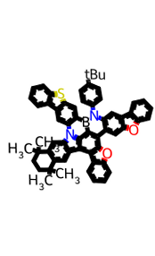 CC(C)(C)c1ccc(N2B3c4cc5sc6ccccc6c5cc4-n4c5cc6c(cc5c5c7c(oc8ccccc87)c(c3c54)-c3cc4oc5ccccc5c4cc32)C(C)(C)CCC6(C)C)cc1